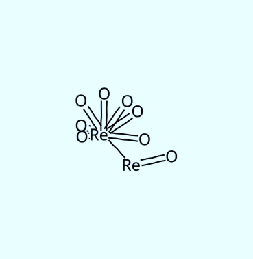 [O]=[Re][Re](=[O])(=[O])(=[O])(=[O])(=[O])(=[O])=[O]